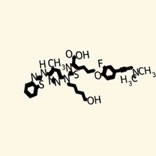 Cc1cc(N(CCCCCO)c2nc(C(=O)O)c(CCCOc3ccc(C#CCN(C)C)cc3F)s2)nnc1Nc1nc2ccccc2s1